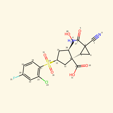 N#CC1(C(N)=O)CC1[C@]1(C(=O)O)C[C@@H](S(=O)(=O)c2ccc(F)cc2Cl)C[C@H]1CO